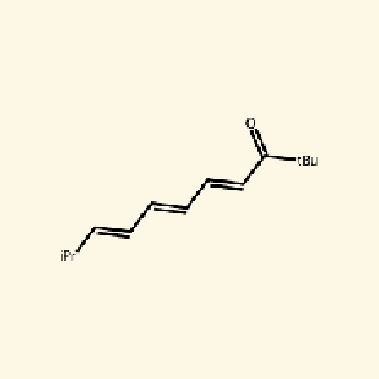 CC(C)/C=C/C=C/C=C/C(=O)C(C)(C)C